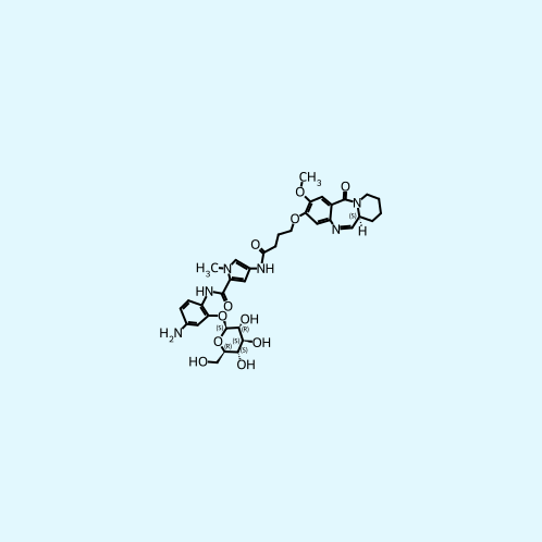 COc1cc2c(cc1OCCCC(=O)Nc1cc(C(=O)Nc3ccc(N)cc3O[C@@H]3O[C@H](CO)[C@@H](O)[C@H](O)[C@H]3O)n(C)c1)N=C[C@@H]1CCCCN1C2=O